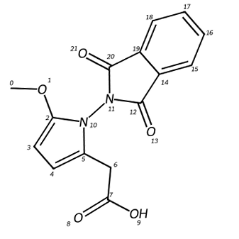 COc1ccc(CC(=O)O)n1N1C(=O)c2ccccc2C1=O